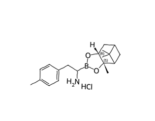 Cc1ccc(CC(N)B2O[C@@H]3CC4CC(C4(C)C)[C@]3(C)O2)cc1.Cl